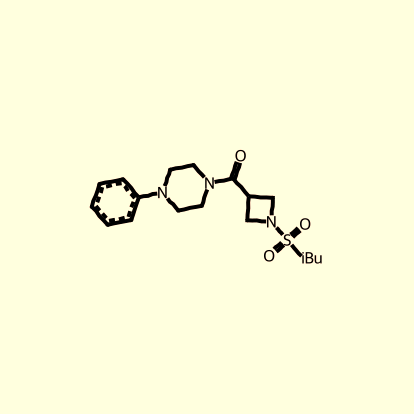 CCC(C)S(=O)(=O)N1CC(C(=O)N2CCN(c3ccccc3)CC2)C1